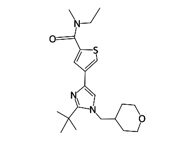 CCN(C)C(=O)c1cc(-c2cn(CC3CCOCC3)c(C(C)(C)C)n2)cs1